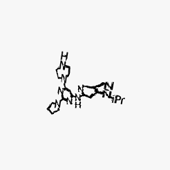 CC(C)n1ncc2cnc(Nc3cc(N4CCNCC4)nc(N4CCCC4)n3)cc21